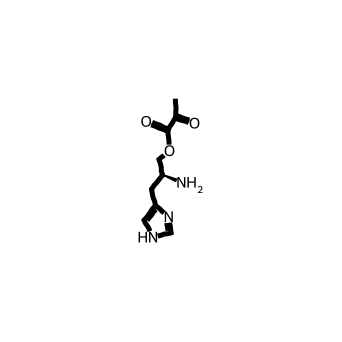 CC(=O)C(=O)OC[C@@H](N)Cc1c[nH]cn1